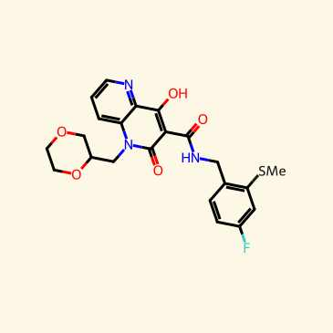 CSc1cc(F)ccc1CNC(=O)c1c(O)c2ncccc2n(CC2COCCO2)c1=O